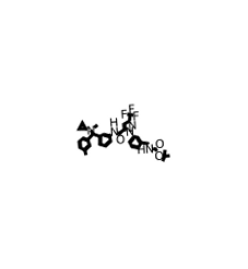 Cc1cccc(C(c2cccc(NC(=O)c3cc(C(F)(F)F)nn3-c3cccc(CNC(=O)OC(C)(C)C)c3)c2)N(C)C2CC2)c1